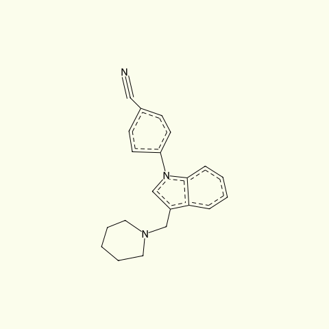 N#Cc1ccc(-n2cc(CN3CCCCC3)c3ccccc32)cc1